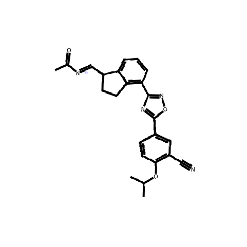 CC(=O)/N=C/C1CCc2c(-c3noc(-c4ccc(OC(C)C)c(C#N)c4)n3)cccc21